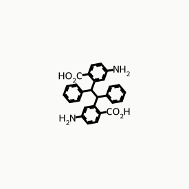 Nc1ccc(C(=O)O)c(C(c2ccccc2)C(c2ccccc2)c2cc(N)ccc2C(=O)O)c1